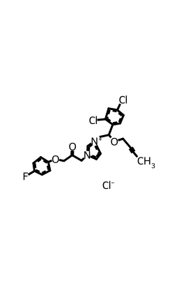 CC#CCOC(C[n+]1ccn(CC(=O)COc2ccc(F)cc2)c1)c1ccc(Cl)cc1Cl.[Cl-]